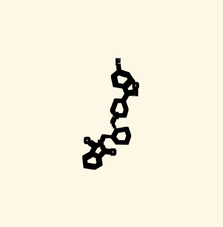 O=C1c2ccccc2C(=O)N1C[C@@H]1CCCC[C@H]1CN1CCC(c2noc3cc(F)ccc23)CC1